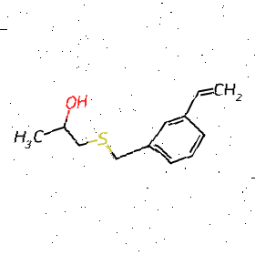 C=Cc1cccc(CSCC(C)O)c1